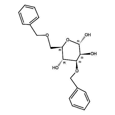 O[C@H]1[C@@H](OCc2ccccc2)[C@H](O)[C@@H](COCc2ccccc2)O[C@@H]1O